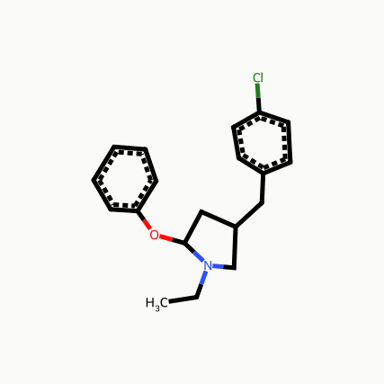 CCN1CC(Cc2ccc(Cl)cc2)CC1Oc1ccccc1